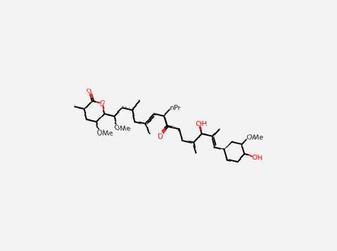 CCCC(C=C(C)CC(C)CC(OC)C1OC(=O)C(C)CC1OC)C(=O)CCC(C)C(O)C(C)=CC1CCC(O)C(OC)C1